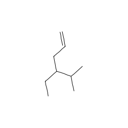 C=CCC(CC)C(C)C